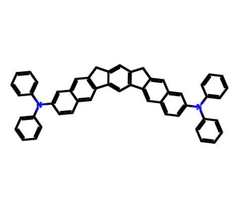 c1ccc(N(c2ccccc2)c2ccc3cc4c(cc3c2)Cc2cc3c(cc2-4)-c2cc4ccc(N(c5ccccc5)c5ccccc5)cc4cc2C3)cc1